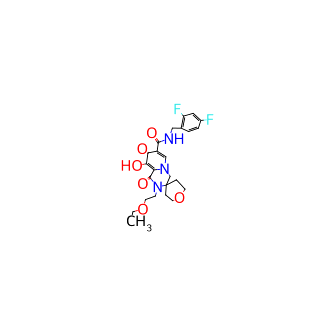 CCOCCN1C(=O)c2c(O)c(=O)c(C(=O)NCc3ccc(F)cc3F)cn2CC12CCOCC2